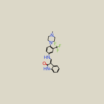 CN1CCN(c2ccc(NC=C3C(=O)Nc4ccccc43)cc2C(F)(F)F)CC1